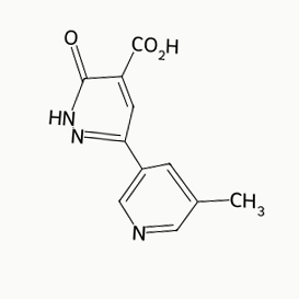 Cc1cncc(-c2cc(C(=O)O)c(=O)[nH]n2)c1